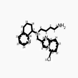 NCCCCN(Cc1cn2c(Cl)cccc2n1)C1CCCc2cccnc21